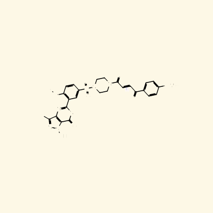 CCCc1nn(C)c2c(=O)[nH]c(-c3cc(S(=O)(=O)N4CCN(C(=O)/C=C/C(=O)c5ccc(OC)cc5)CC4)ccc3OCC)nc12